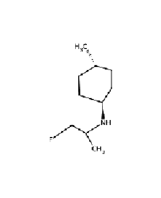 CC(CF)N[C@H]1CC[C@H](C)CC1